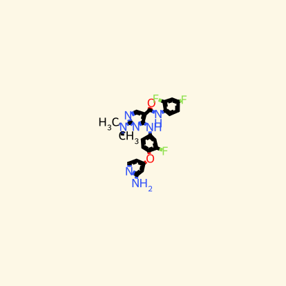 CN(C)c1ncc(C(=O)Nc2ccc(F)cc2F)c(Nc2ccc(Oc3ccnc(N)c3)c(F)c2)n1